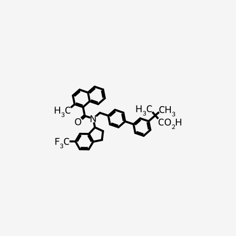 Cc1ccc2ccccc2c1C(=O)N(Cc1ccc(-c2cccc(C(C)(C)C(=O)O)c2)cc1)C1CCc2ccc(C(F)(F)F)cc21